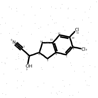 N#CC(O)C1Cc2cc(Cl)c(Cl)cc2C1